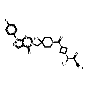 C#CC(=O)N(C)[C@H]1C[C@@H](C(=O)N2CCC(O)(Cn3cnc4c(cnn4-c4ccc(F)cc4)c3=O)CC2)C1